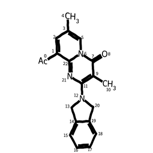 CC(=O)c1cc(C)cn2c(=O)c(C)c(N3Cc4ccccc4C3)nc12